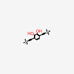 C[Si](C)(C)C#Cc1ccc(C#C[Si](C)(C)C)c(O)c1O